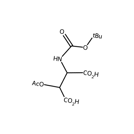 CC(=O)OC(C(=O)O)C(NC(=O)OC(C)(C)C)C(=O)O